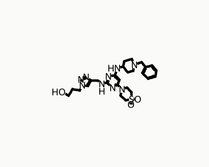 O=S1(=O)CCN(c2cc(NC3CCN(Cc4ccccc4)CC3)nc(NCc3cn(CCCO)nn3)n2)CC1